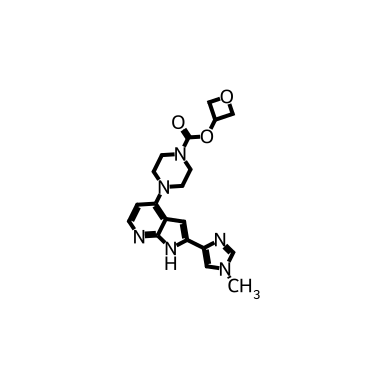 Cn1cnc(-c2cc3c(N4CCN(C(=O)OC5COC5)CC4)ccnc3[nH]2)c1